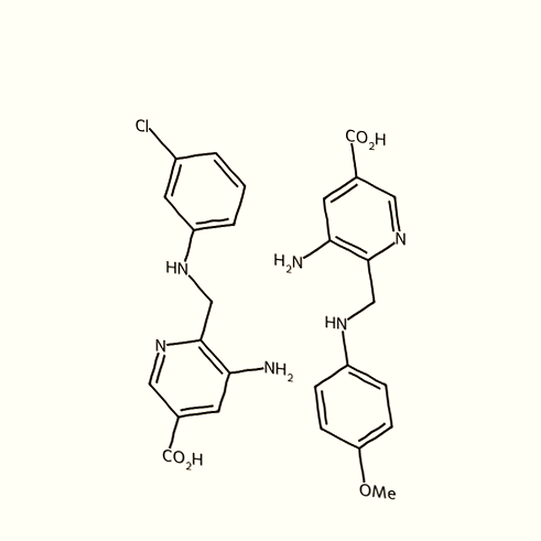 COc1ccc(NCc2ncc(C(=O)O)cc2N)cc1.Nc1cc(C(=O)O)cnc1CNc1cccc(Cl)c1